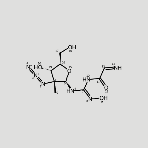 C[C@]1(N=[N+]=[N-])[C@H](N/C(=N/O)NC(=O)C=N)O[C@H](CO)[C@H]1O